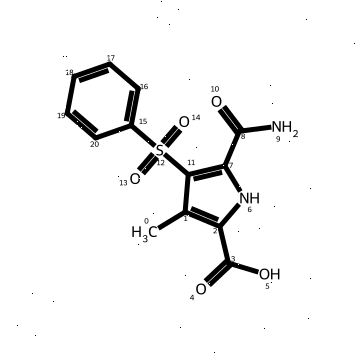 Cc1c(C(=O)O)[nH]c(C(N)=O)c1S(=O)(=O)c1ccccc1